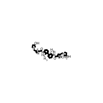 Cc1c(NC(=O)c2cc(CN3CC[C@@H](O)C3)n(C)n2)cccc1-c1cccc(NC(=O)c2ncc(CN3CC[C@@H](O)C3)s2)c1C